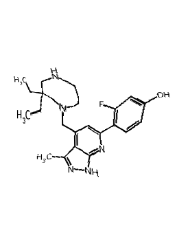 CCC1(CC)CNCCN1Cc1cc(-c2ccc(O)cc2F)nc2[nH]nc(C)c12